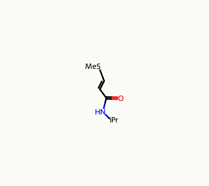 CS/C=C/C(=O)NC(C)C